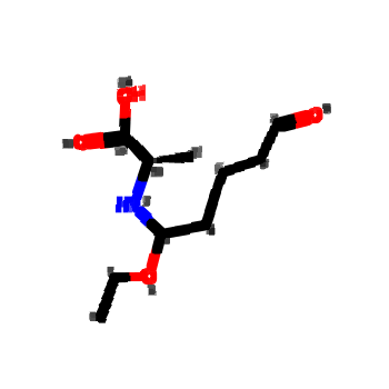 CCOC(CCCC=O)N[C@@H](C)C(=O)O